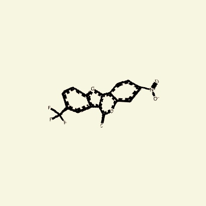 O=c1oc2cc([N+](=O)[O-])ccc2c2oc3ccc(C(F)(F)F)cc3c12